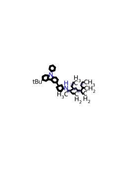 C=C/C(=C/C=C(/C=C\C)C(\C=C)=C(\C)Nc1cccc(-c2ccc3c(c2)c2cc(C(C)(C)C)ccc2n3-c2ccccc2)c1)C(=C)/C=C\C